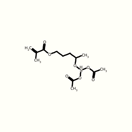 C=C(C)C(=O)OCCCC(C)O[SiH](OC(C)=O)OC(C)=O